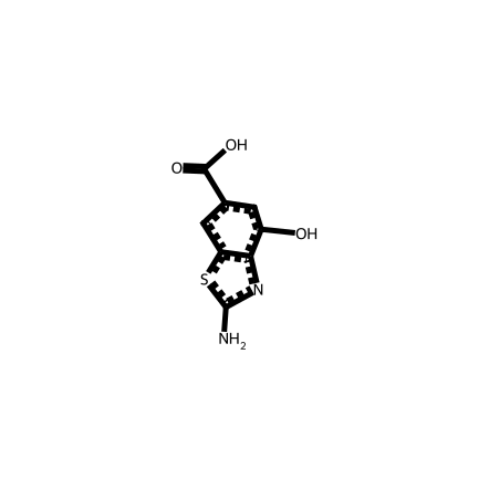 Nc1nc2c(O)cc(C(=O)O)cc2s1